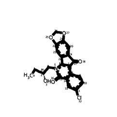 CC[C@@H](O)Cn1c2c(c3ccc(Cl)cc3c1=O)C(=O)c1cc3c(cc1-2)OCO3